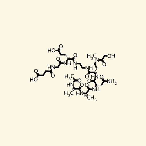 CC(=O)N[C@@H](C)C(=O)N[C@H](C)C(=O)N[C@@H](CC(N)=O)C(=O)N[C@@H](CCN(C)C(=O)CO)C(=O)NCCNC(=O)[C@@H](CCC(=O)O)NC(=O)CNC(=O)CCC(=O)O